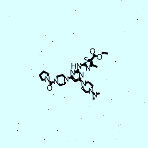 CCOC(=O)c1sc(Nc2nc(N3CCN(C(=O)N4CCCC4)CC3)cc(N3CCN(N(C)C)CC3)n2)nc1C